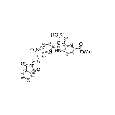 COC(=O)c1ccc(NC(=O)c2ccc([N+](=O)[O-])c(OCCCN3C(=O)c4ccccc4C3=O)n2)c(OCC(=O)O)n1